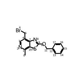 Cc1ncc(CBr)c2nc(OCc3ccccc3)sc12